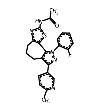 CC(=O)Nc1nc2c(s1)-c1c(c(-c3ccc(C)nc3)nn1-c1ccccc1F)CCC2